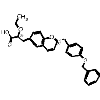 CCO[C@@H](Cc1ccc2c(c1)C=C[C@@H](Cc1ccc(OCc3ccccc3)cc1)O2)C(=O)O